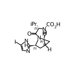 CC(C)[C@H](NC(=O)O)C(=O)N1[C@@H]2C[C@@H]2C[C@H]1c1ncc(I)[nH]1